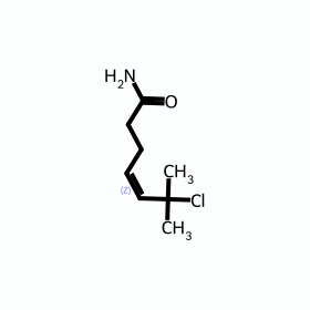 CC(C)(Cl)/C=C\CCC(N)=O